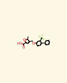 Cc1oc(C(=O)O)cc1COc1ccc(-c2ccccc2)c(C(F)(F)F)c1